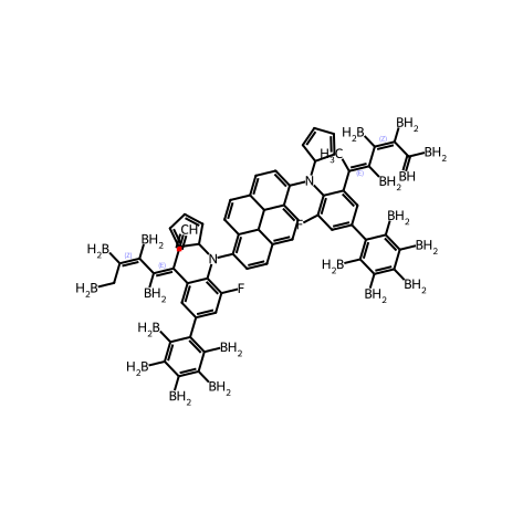 B=C(B)/C(B)=C(B)\C(B)=C(/C)c1cc(-c2c(B)c(B)c(B)c(B)c2B)cc(F)c1N(C1=CC=C2C=CC3=C(N(c4c(F)cc(-c5c(B)c(B)c(B)c(B)c5B)cc4/C(C#C)=C(B)/C(B)=C(/B)CB)C4C=CC=C4)C=CC4=CC=C1C2C43)C1C=CC=C1